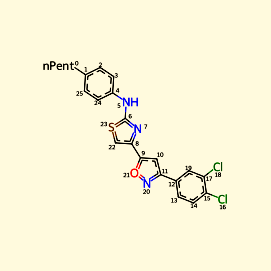 CCCCCc1ccc(Nc2nc(-c3cc(-c4ccc(Cl)c(Cl)c4)no3)cs2)cc1